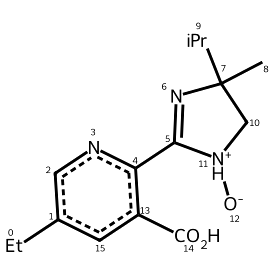 CCc1cnc(C2=NC(C)(C(C)C)C[NH+]2[O-])c(C(=O)O)c1